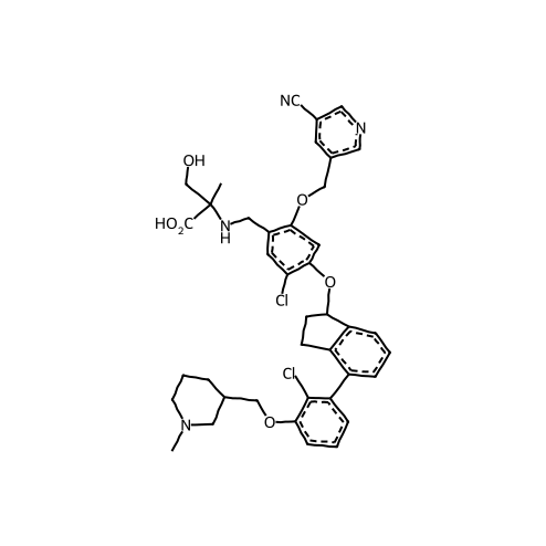 CN1CCCC(COc2cccc(-c3cccc4c3CCC4Oc3cc(OCc4cncc(C#N)c4)c(CNC(C)(CO)C(=O)O)cc3Cl)c2Cl)C1